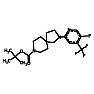 CC(C)(C)OC(=O)N1CCC2(CC1)CCN(c1cc(C(F)(F)F)c(F)cn1)C2